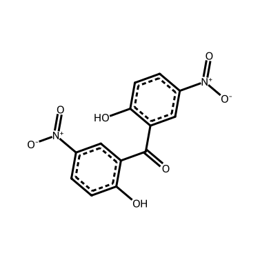 O=C(c1cc([N+](=O)[O-])ccc1O)c1cc([N+](=O)[O-])ccc1O